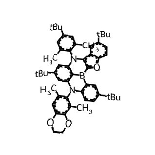 Cc1cc(C(C)(C)C)cc(C)c1N1c2cc(C(C)(C)C)cc3c2B(c2cc(C(C)(C)C)ccc2N3c2c(C)cc3c(c2C)OCCO3)c2oc3ccc(C(C)(C)C)cc3c21